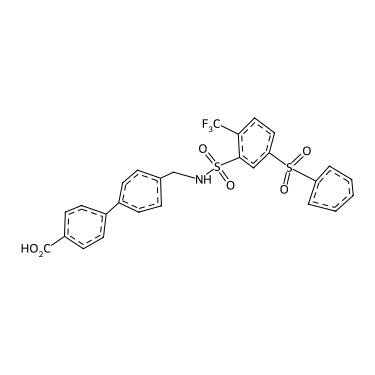 O=C(O)c1ccc(-c2ccc(CNS(=O)(=O)c3cc(S(=O)(=O)c4ccccc4)ccc3C(F)(F)F)cc2)cc1